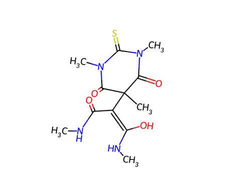 CNC(=O)/C(=C(/O)NC)C1(C)C(=O)N(C)C(=S)N(C)C1=O